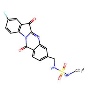 O=C(O)NS(=O)(=O)NCc1ccc2c(=O)n3c(nc2c1)C(=O)c1cc(F)ccc1-3